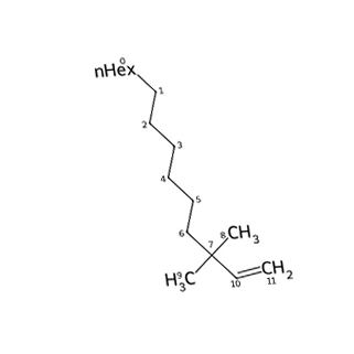 [CH2]CCCCCCCCCCCC(C)(C)C=C